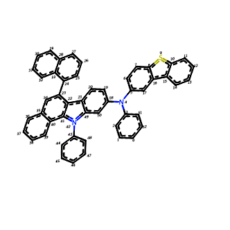 c1ccc(N(c2ccc3sc4ccccc4c3c2)c2ccc3c4c(-c5cccc6ccccc56)cc5ccccc5c4n(-c4ccccc4)c3c2)cc1